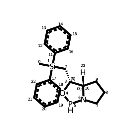 C[Si](C[C@H]1OPN2CCC[C@@H]12)(c1ccccc1)c1ccccc1